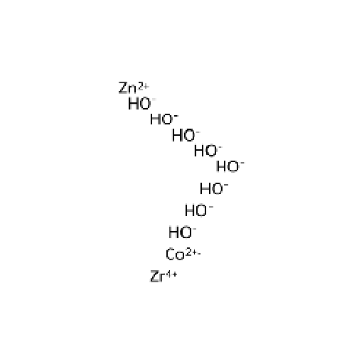 [Co+2].[OH-].[OH-].[OH-].[OH-].[OH-].[OH-].[OH-].[OH-].[Zn+2].[Zr+4]